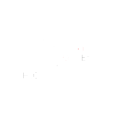 CCOc1ccc2ccccc2c1Oc1ccc(C)cc1